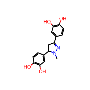 CN1N=C(c2ccc(O)c(O)c2)CC1c1ccc(O)c(O)c1